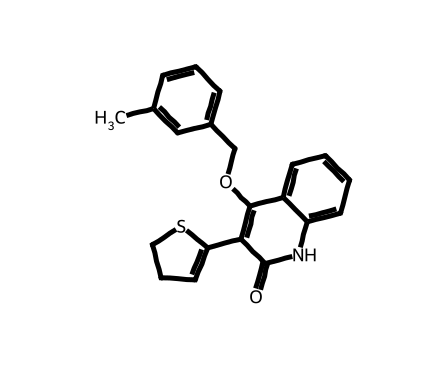 Cc1cccc(COc2c(C3=CCCS3)c(=O)[nH]c3ccccc23)c1